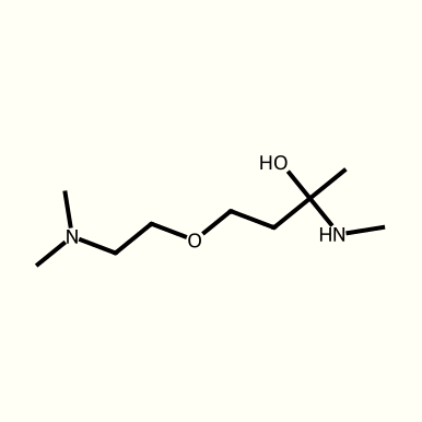 CNC(C)(O)CCOCCN(C)C